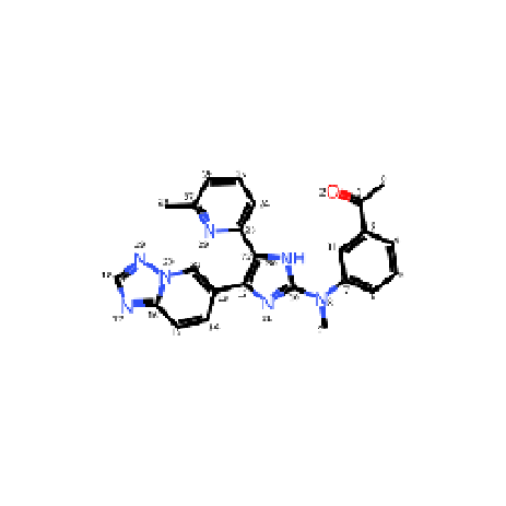 CC(=O)c1cccc(N(C)c2nc(-c3ccc4ncnn4c3)c(-c3cccc(C)n3)[nH]2)c1